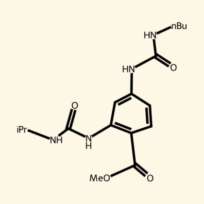 CCCCNC(=O)Nc1ccc(C(=O)OC)c(NC(=O)NC(C)C)c1